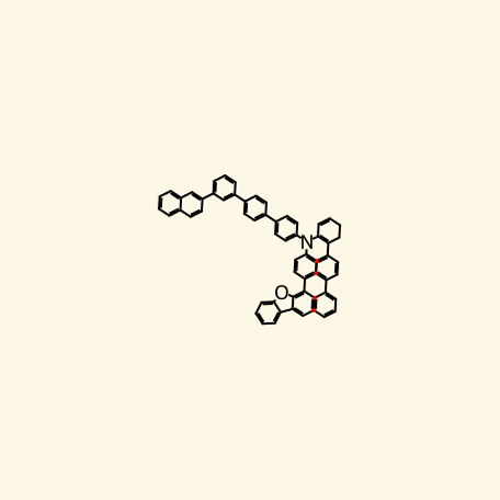 C1=CC(N(c2ccc(-c3ccc(-c4cccc(-c5ccc6ccccc6c5)c4)cc3)cc2)c2ccc(-c3cccc4c3oc3ccccc34)cc2)=C(c2ccc(-c3ccccc3)cc2)CC1